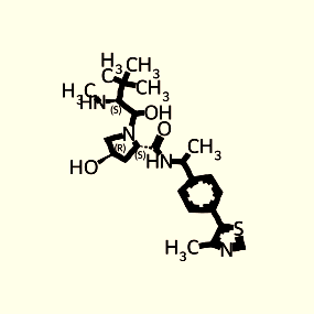 CN[C@H](C(O)N1C[C@H](O)C[C@H]1C(=O)NC(C)c1ccc(-c2scnc2C)cc1)C(C)(C)C